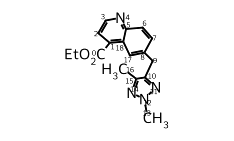 CCOC(=O)c1ccnc2ccc(Cc3nn(C)nc3C)cc12